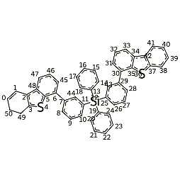 C1=Cc2c(sc3c(-c4cccc([Si](c5ccccc5)(c5ccccc5)c5cccc(-c6cccc7c6sc6ccccc67)c5)c4)cccc23)CC1